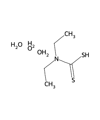 CCN(CC)C(=S)S.O.O.O